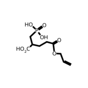 C=CCOC(=O)CCC(CP(=O)(O)O)C(=O)O